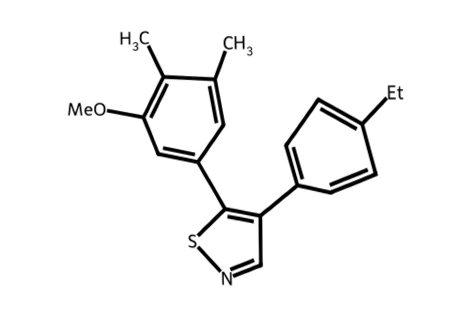 CCc1ccc(-c2cnsc2-c2cc(C)c(C)c(OC)c2)cc1